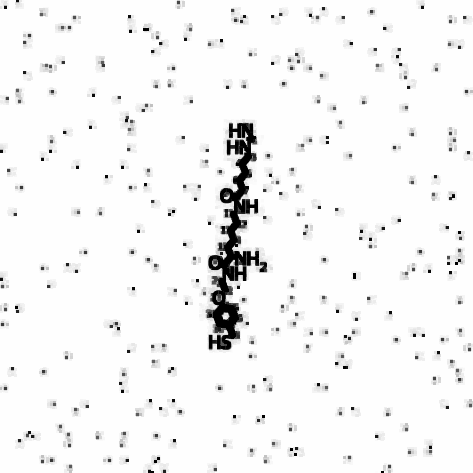 N=CNCCCCCC(=O)NCCCCC[C@@H](N)C(=O)NCCOc1ccc(CS)cc1